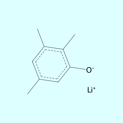 Cc1cc(C)c(C)c([O-])c1.[Li+]